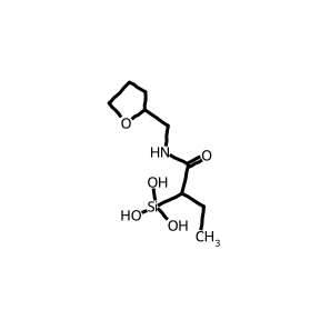 CCC(C(=O)NCC1CCCO1)[Si](O)(O)O